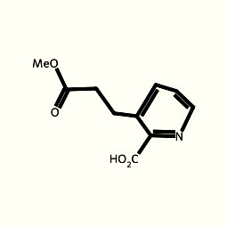 COC(=O)CCc1cccnc1C(=O)O